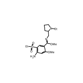 CCN1CCCC1C/N=C(\OC)c1cc(S(=O)(=O)CC)c(N)cc1OC